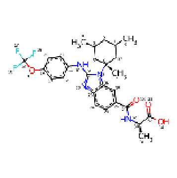 CC1C[C@H](C)C[C@@](C)(n2c(Nc3ccc(OC(F)(F)F)cc3)nc3ccc(C(=O)N[C@H](C)C(=O)O)cc32)C1